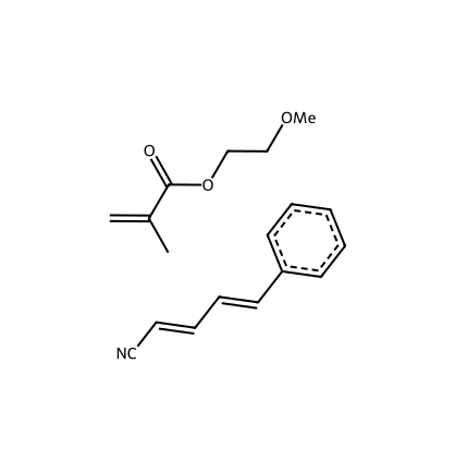 C=C(C)C(=O)OCCOC.N#CC=CC=Cc1ccccc1